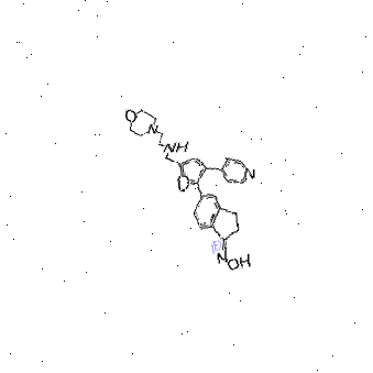 O/N=C1\CCc2cc(-c3oc(CNCCN4CCOCC4)cc3-c3ccncc3)ccc21